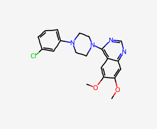 COc1cc2ncnc(N3CCN(c4cccc(Cl)c4)CC3)c2cc1OC